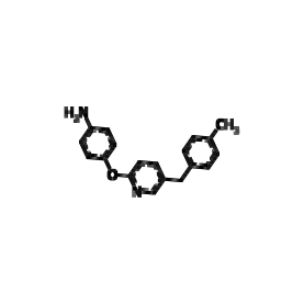 Cc1ccc(Cc2ccc(Oc3ccc(N)cc3)nc2)cc1